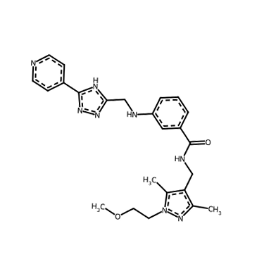 COCCn1nc(C)c(CNC(=O)c2cccc(NCc3nnc(-c4ccncc4)[nH]3)c2)c1C